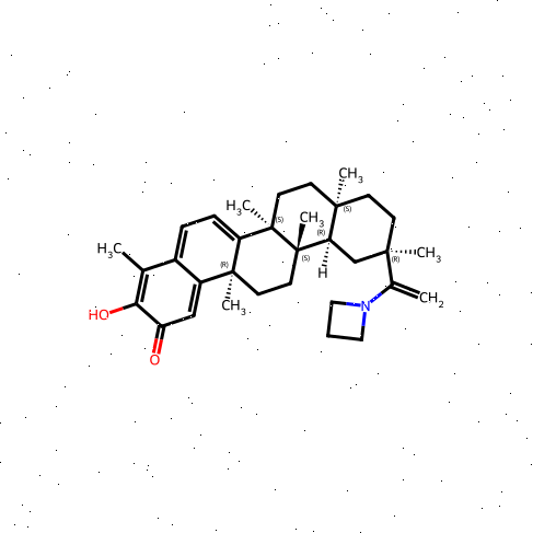 C=C(N1CCC1)[C@]1(C)CC[C@]2(C)CC[C@]3(C)C4=CC=C5C(=CC(=O)C(O)=C5C)[C@]4(C)CC[C@@]3(C)[C@@H]2C1